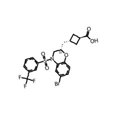 O=C(O)[C@H]1C[C@H](C[C@H]2CN(S(=O)(=O)c3cccc(C(F)(F)F)c3)c3cc(Br)ccc3O2)C1